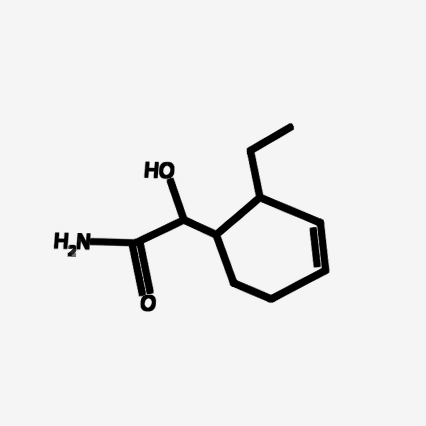 CCC1C=CCCC1C(O)C(N)=O